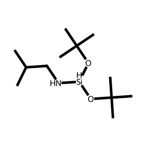 CC(C)CN[SiH](OC(C)(C)C)OC(C)(C)C